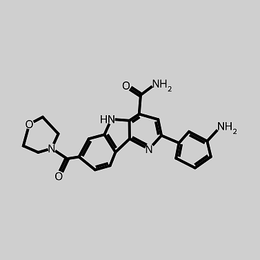 NC(=O)c1cc(-c2cccc(N)c2)nc2c1[nH]c1cc(C(=O)N3CCOCC3)ccc12